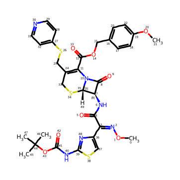 CON=C(C(=O)N[C@@H]1C(=O)N2C(C(=O)OCc3ccc(OC)cc3)=C(CSc3ccncc3)CS[C@@H]12)c1csc(NC(=O)OC(C)(C)C)n1